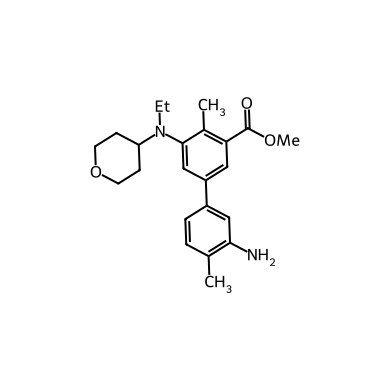 CCN(c1cc(-c2ccc(C)c(N)c2)cc(C(=O)OC)c1C)C1CCOCC1